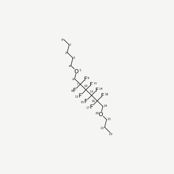 CCCCCOCC(F)(F)C(F)(F)C(F)(F)C(F)(F)COCCC